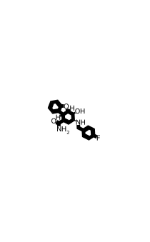 NC(=O)C1=C[C@@H](NCc2ccc(F)cc2)[C@H](O)[C@H]2Oc3ccccc3[C@@H]12